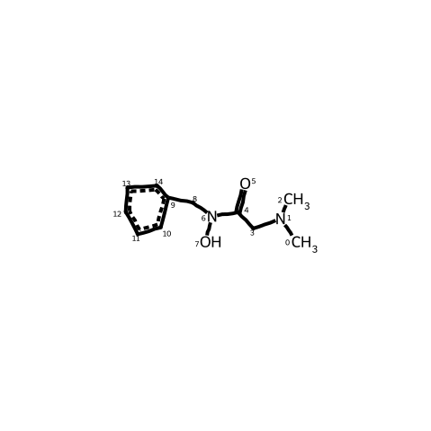 CN(C)CC(=O)N(O)Cc1ccccc1